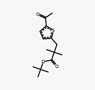 CC(=O)c1ccc(CC(C)(C)C(=O)OC(C)(C)C)s1